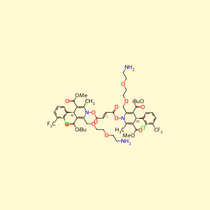 COC(=O)C1=C(C)N(OC(=O)/C=C/C(=O)ON2C(C)=C(C(=O)OC)[C@H](c3cccc(C(F)(F)F)c3Cl)C(C(=O)OCC(C)C)=C2COCCOCCN)C(COCCOCCN)=C(C(=O)OCC(C)C)[C@H]1c1cccc(C(F)(F)F)c1Cl